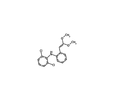 COC(=Cc1ccccc1Nc1c(Cl)cccc1Cl)OC